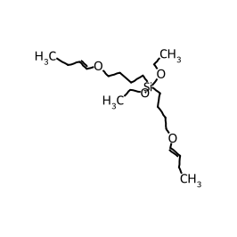 CCC=COCCCC[Si](CCCCOC=CCC)(OCC)OCC